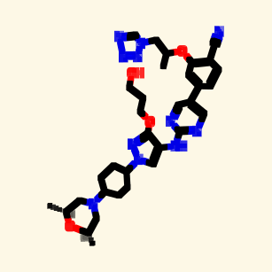 CC(Cn1cnnn1)Oc1cc(-c2cnc(Nc3cn(C4CCC(N5C[C@@H](C)O[C@@H](C)C5)CC4)nc3OCCCO)nc2)ccc1C#N